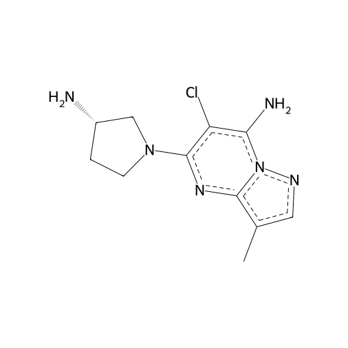 Cc1cnn2c(N)c(Cl)c(N3CC[C@H](N)C3)nc12